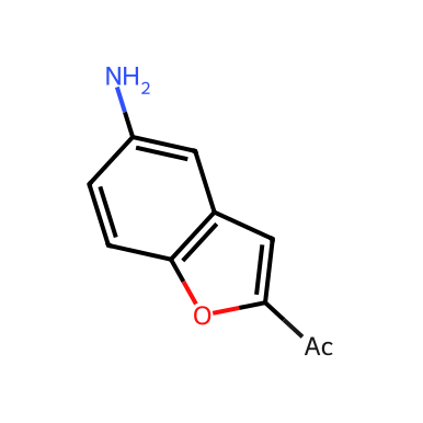 CC(=O)c1cc2cc(N)ccc2o1